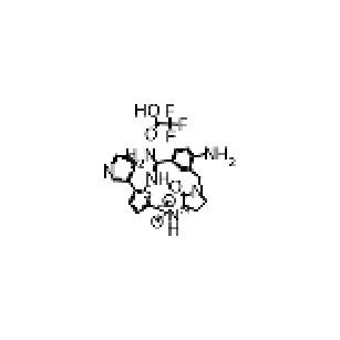 N=C(N)c1ccc(N)c(CN2CC[C@H](NS(=O)(=O)c3ccc(-c4cccnc4)s3)C2=O)c1.O=C(O)C(F)(F)F